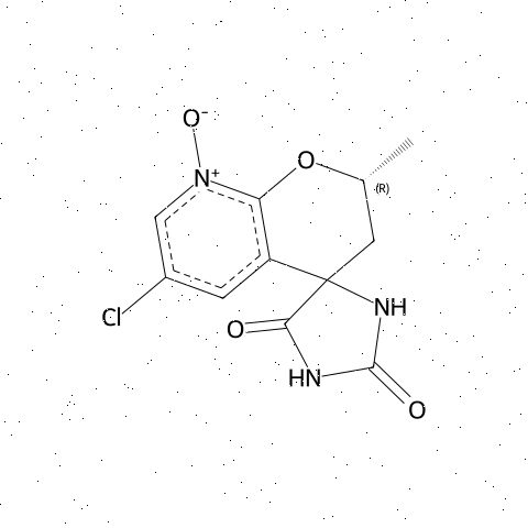 C[C@@H]1CC2(NC(=O)NC2=O)c2cc(Cl)c[n+]([O-])c2O1